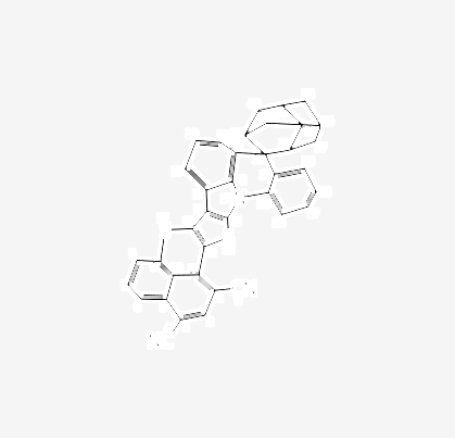 N#Cc1cc(C#N)c2cccc3c2c1-c1sc2c(c1S3)c1cccc3c1n2-c1ccccc1C31C2CC3CC(C2)CC1C3